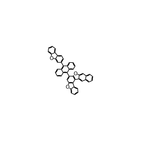 c1ccc2cc3c(cc2c1)oc1c(-c2c4ccccc4c(-c4ccc5c(c4)oc4ccccc45)c4ccccc24)cc2oc4ccccc4c2c13